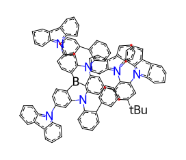 CC(C)(C)c1cc(-c2cc3c4c(c2)N(c2ccccc2-c2ccccc2)c2cc(-n5c6ccccc6c6ccccc65)ccc2B4c2ccc(-n4c5ccccc5c5ccccc54)cc2N3c2ccccc2-c2ccccc2)c(-n2c3ccccc3c3ccccc32)c(-n2c3ccccc3c3ccccc32)c1